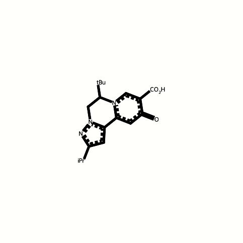 CC(C)c1cc2n(n1)CC(C(C)(C)C)n1cc(C(=O)O)c(=O)cc1-2